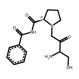 NC(CO)C(=O)CN1CCC[C@@H]1C(=O)NC(=O)c1ccccc1